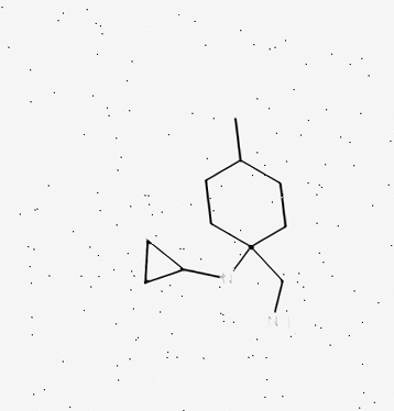 CC1CCC(CN)(NC2CC2)CC1